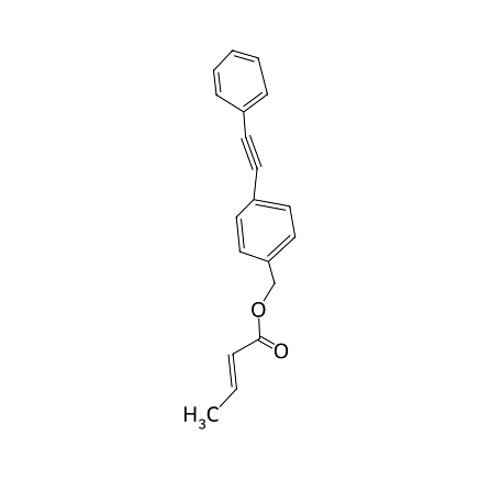 CC=CC(=O)OCc1ccc(C#Cc2ccccc2)cc1